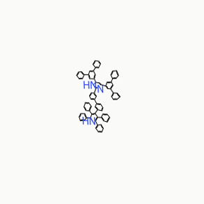 C1=C(c2cc(-c3ccccc3)cc(-c3ccccc3)c2)N=C(c2cccc(-c3cccc(C4=C(c5ccccc5)C(c5ccccc5)NC(c5ccccc5)=C4c4ccccc4)c3)c2)NC1c1cc(-c2ccccc2)cc(-c2ccccc2)c1